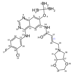 BC(B)(B)Oc1cc2ncnc(Nc3ccc(F)c(Cl)c3)c2cc1NC(=O)/C=C/CN1CC2OCCOC2C1